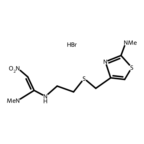 Br.CNC(=C[N+](=O)[O-])NCCSCc1csc(NC)n1